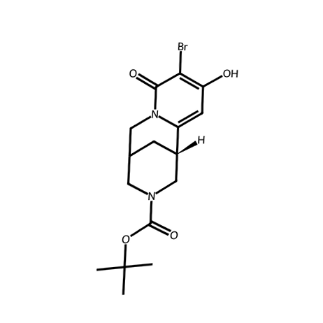 CC(C)(C)OC(=O)N1CC2C[C@@H](C1)c1cc(O)c(Br)c(=O)n1C2